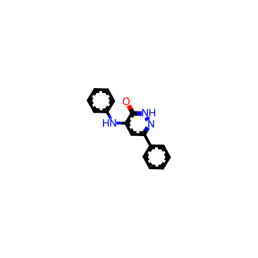 O=c1[nH]nc(-c2ccccc2)cc1Nc1ccccc1